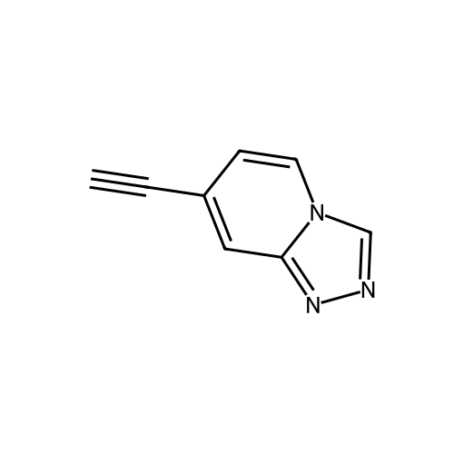 C#Cc1ccn2cnnc2c1